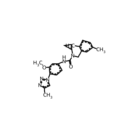 COc1cc(NC(=O)N(Cc2cc(C)ccc2C)C2CC2)ccc1-n1cc(C)nn1